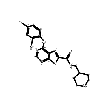 O=C(NCC1CCNCC1)c1nc2c(Nc3ccc(F)cc3O)ncnc2s1